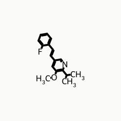 COc1cc(/C=C/c2ccccc2F)cnc1C(C)C